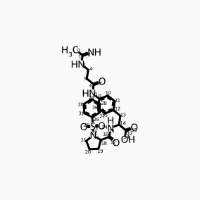 CC(=N)NCCC(=O)Nc1ccc(CC(NC(=O)C2CCCN2S(=O)(=O)c2ccccc2)C(=O)O)cc1